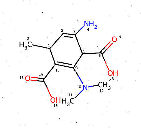 CC1C=C(N)C(C(=O)O)C(N(C)C)=C1C(=O)O